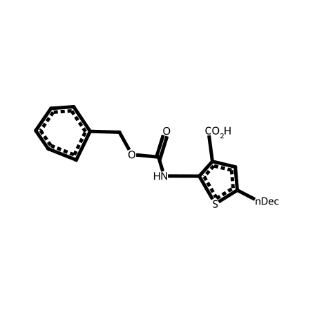 CCCCCCCCCCc1cc(C(=O)O)c(NC(=O)OCc2ccccc2)s1